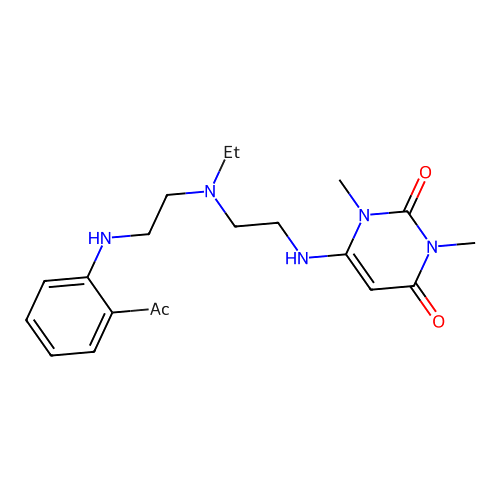 CCN(CCNc1ccccc1C(C)=O)CCNc1cc(=O)n(C)c(=O)n1C